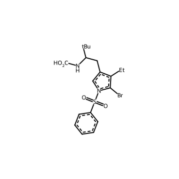 CCc1c(CC(NC(=O)O)C(C)(C)C)cn(S(=O)(=O)c2ccccc2)c1Br